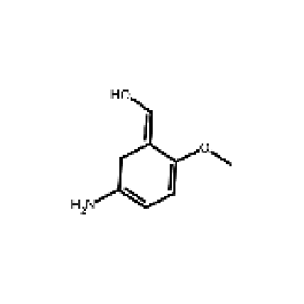 COC1=CC=C(N)C/C1=C\O